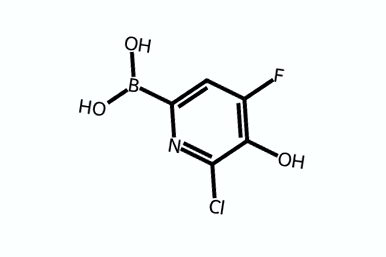 OB(O)c1cc(F)c(O)c(Cl)n1